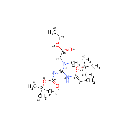 CC=C(N/C(=N\C(=O)OC(C)(C)C)N(C)CC(=O)OCC)OC(C)(C)C